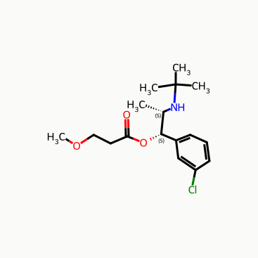 COCCC(=O)O[C@@H](c1cccc(Cl)c1)[C@H](C)NC(C)(C)C